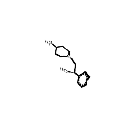 NC1CCN(C[C@H](O)c2ccccc2)CC1